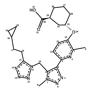 Cc1nc(-c2nnn(C)c2Cn2nnnc2CCC2CC2)ccc1O[C@H]1CCC[C@H](C(=O)O)C1